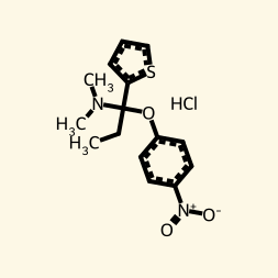 CCC(Oc1ccc([N+](=O)[O-])cc1)(c1cccs1)N(C)C.Cl